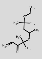 C=CC(=O)C(C)(C)OC(C)CC(C)(C)OCC